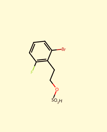 O=S(=O)(O)OCCc1c(F)cccc1Br